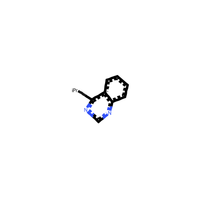 CC(C)c1n[c]nc2ccccc12